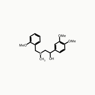 COc1ccccc1CN(C)CC(O)c1ccc(OC)c(OC)c1